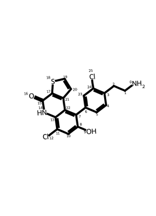 NCCc1ccc(-c2c(O)cc(Cl)c3[nH]c(=O)c4sccc4c23)cc1Cl